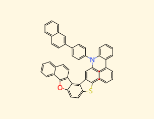 c1ccc(-c2ccccc2N(c2ccc(-c3ccc4ccccc4c3)cc2)c2ccc3sc4ccc5oc6c7ccccc7ccc6c5c4c3c2)cc1